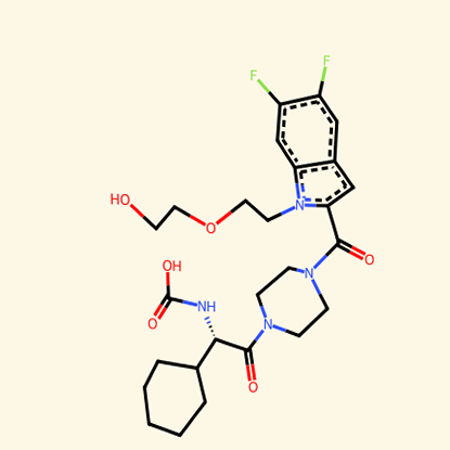 O=C(O)N[C@H](C(=O)N1CCN(C(=O)c2cc3cc(F)c(F)cc3n2CCOCCO)CC1)C1CCCCC1